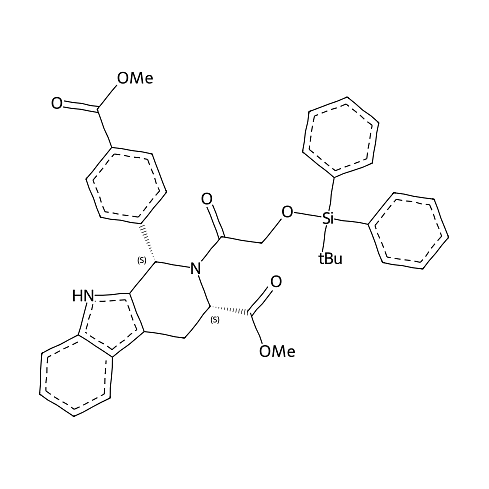 COC(=O)c1ccc([C@H]2c3[nH]c4ccccc4c3C[C@@H](C(=O)OC)N2C(=O)CO[Si](c2ccccc2)(c2ccccc2)C(C)(C)C)cc1